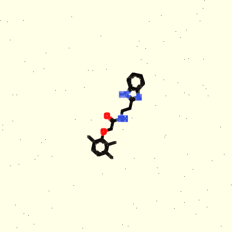 Cc1ccc(C)c(OCC(=O)NCCc2nc3ccccc3[nH]2)c1C